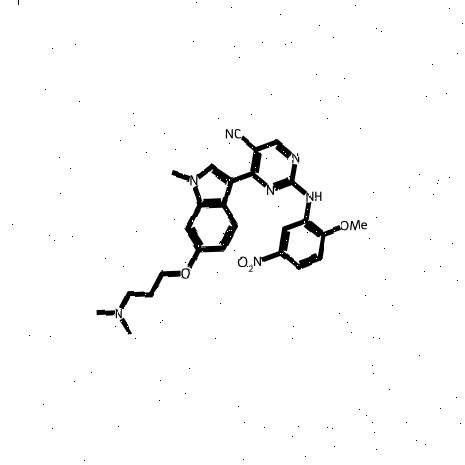 COc1ccc([N+](=O)[O-])cc1Nc1ncc(C#N)c(-c2cn(C)c3cc(OCCCN(C)C)ccc23)n1